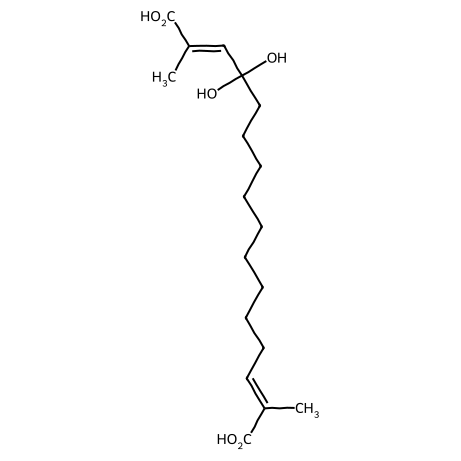 CC(=CCCCCCCCCCC(O)(O)C=C(C)C(=O)O)C(=O)O